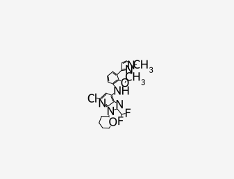 COc1c(Nc2cc(Cl)nc3c2nc(C(F)F)n3C2CCCCO2)cccc1-c1ccn(C)n1